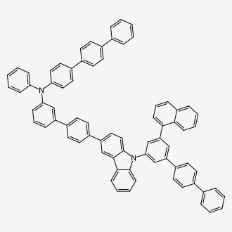 c1ccc(-c2ccc(-c3ccc(N(c4ccccc4)c4cccc(-c5ccc(-c6ccc7c(c6)c6ccccc6n7-c6cc(-c7ccc(-c8ccccc8)cc7)cc(-c7cccc8ccccc78)c6)cc5)c4)cc3)cc2)cc1